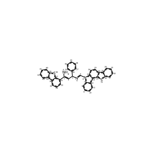 N/C(=C\C(/N=C/n1c2ccccc2c2c3sc4ccccc4c3ccc21)c1ccccc1)c1cccc2c1sc1ccccc12